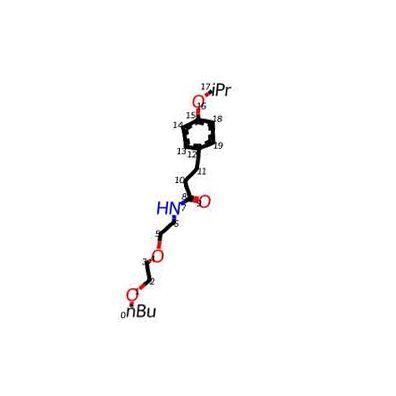 CCCCOCCOCCNC(=O)CCc1ccc(OC(C)C)cc1